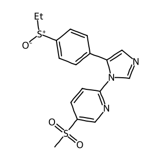 CC[S+]([O-])c1ccc(-c2cncn2-c2ccc(S(C)(=O)=O)cn2)cc1